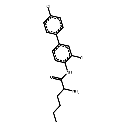 CCCCC(N)C(=O)Nc1ccc(-c2ccc(Cl)cc2)cc1Cl